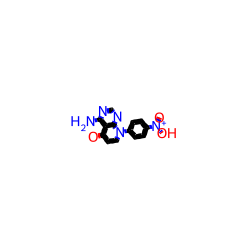 Nc1ncnc2c1c(=O)ccn2-c1ccc([N+](=O)O)cc1